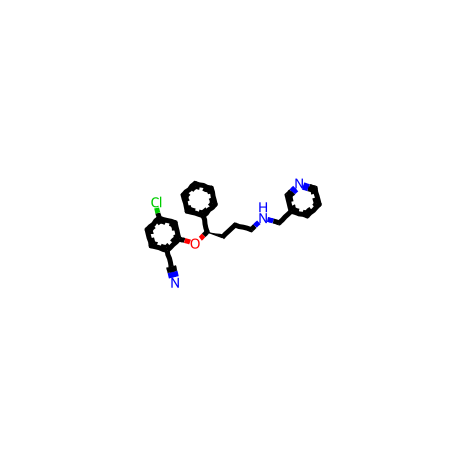 N#Cc1ccc(Cl)cc1O[C@H](CCCNCc1cccnc1)c1ccccc1